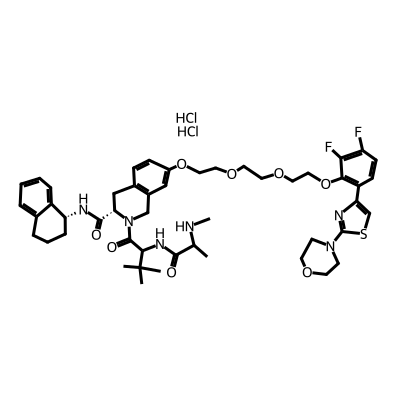 CNC(C)C(=O)NC(C(=O)N1Cc2cc(OCCOCCOCCOc3c(-c4csc(N5CCOCC5)n4)ccc(F)c3F)ccc2C[C@H]1C(=O)N[C@@H]1CCCc2ccccc21)C(C)(C)C.Cl.Cl